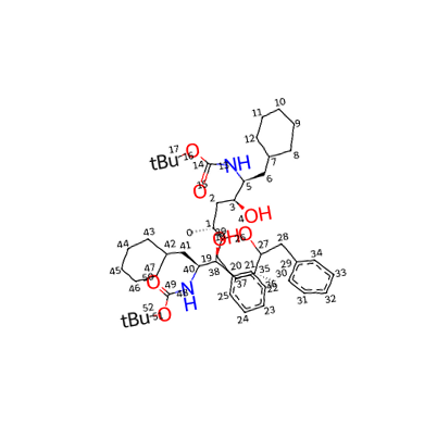 C[C@H](C[C@H](O)[C@H](CC1CCCCC1)NC(=O)OC(C)(C)C)C(Cc1ccccc1)OC(Cc1ccccc1)[C@H](C)C[C@H](O)[C@H](CC1CCCCC1)NC(=O)OC(C)(C)C